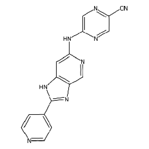 N#Cc1cnc(Nc2cc3[nH]c(-c4ccncc4)nc3cn2)cn1